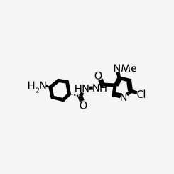 CNc1cc(Cl)ncc1C(=O)NNC(=O)[C@H]1CC[C@H](N)CC1